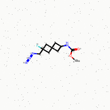 CC(C)(C)OC(=O)NC1CC2(C1)CC(F)(CN=[N+]=[N-])C2